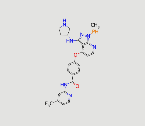 CPn1nc(N[C@@H]2CCNC2)c2c(Oc3ccc(C(=O)Nc4cc(C(F)(F)F)ccn4)cc3)ccnc21